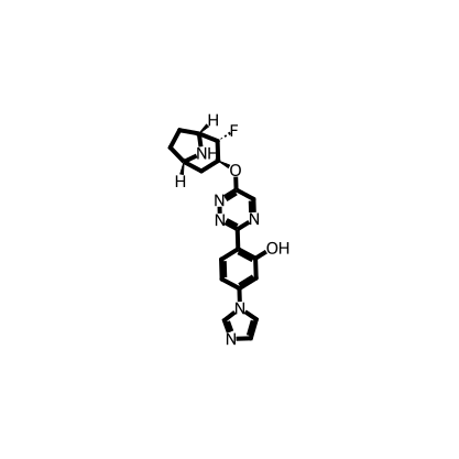 Oc1cc(-n2ccnc2)ccc1-c1ncc(O[C@H]2C[C@@H]3CC[C@@H](N3)[C@@H]2F)nn1